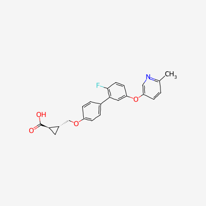 Cc1ccc(Oc2ccc(F)c(-c3ccc(OC[C@@H]4C[C@H]4C(=O)O)cc3)c2)cn1